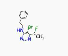 CC(F)c1ncnc(NCCc2ccccc2)c1Br